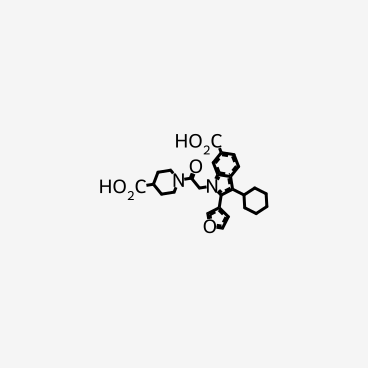 O=C(O)c1ccc2c(C3CCCCC3)c(-c3ccoc3)n(CC(=O)N3CCC(C(=O)O)CC3)c2c1